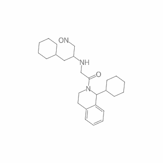 O=NCC(CC1CCCCC1)NCC(=O)N1CCc2ccccc2C1C1CCCCC1